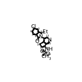 CC[C@H]1c2cc(Cl)ccc2C(=O)N1c1cncc2c1CC[C@@H]2NS(C)(=O)=O